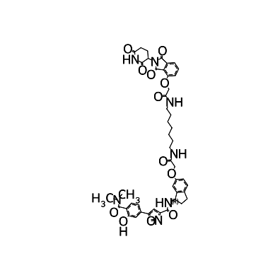 CN(C)C(=O)c1ccc(-c2cc(C(=O)N[C@@H]3CCc4ccc(OCC(=O)NCCCCCCCNC(=O)COc5cccc6c5C(=O)N(C5CCC(=O)NC5=O)C6=O)cc43)no2)cc1O